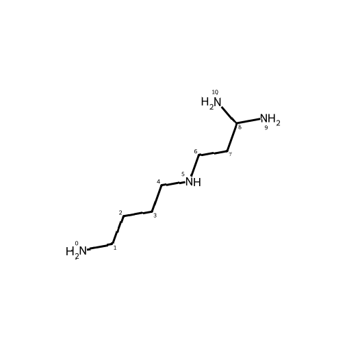 NCCCCNCCC(N)N